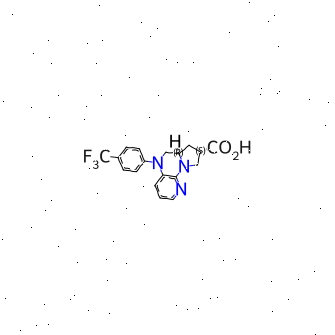 O=C(O)[C@H]1C[C@@H]2CN(c3ccc(C(F)(F)F)cc3)c3cccnc3N2C1